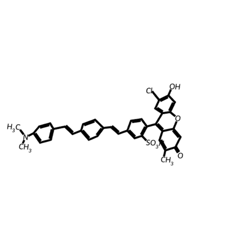 Cc1cc2c(-c3ccc(/C=C/c4ccc(/C=C/c5ccc(N(C)C)cc5)cc4)cc3S(=O)(=O)O)c3cc(Cl)c(O)cc3oc-2cc1=O